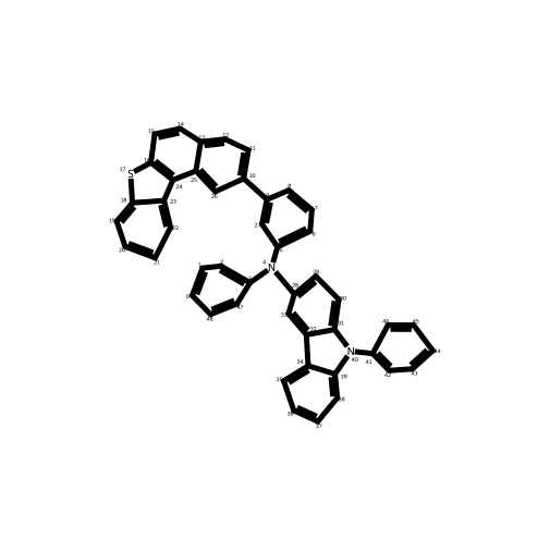 c1ccc(N(c2cccc(-c3ccc4ccc5sc6ccccc6c5c4c3)c2)c2ccc3c(c2)c2ccccc2n3-c2ccccc2)cc1